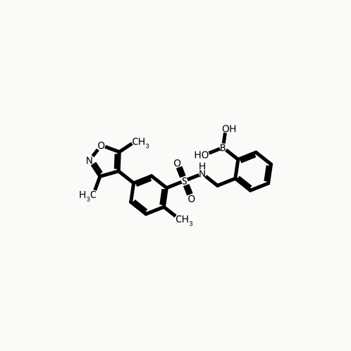 Cc1ccc(-c2c(C)noc2C)cc1S(=O)(=O)NCc1ccccc1B(O)O